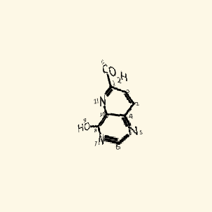 O=C(O)c1ccc2ncnc(O)c2n1